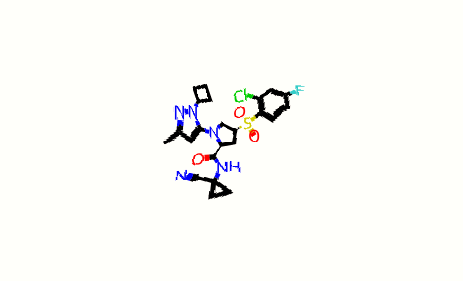 Cc1cc(N2C[C@H](S(=O)(=O)c3ccc(F)cc3Cl)C[C@H]2C(=O)NC2(C#N)CC2)n(C2CCC2)n1